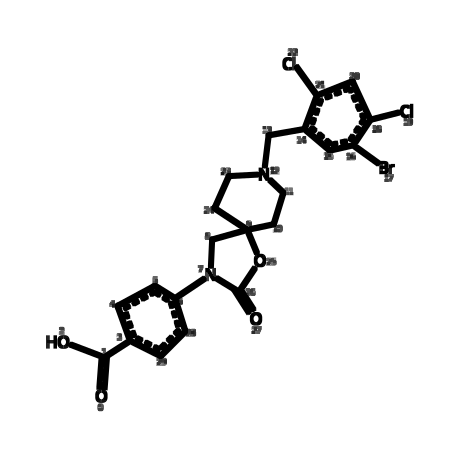 O=C(O)c1ccc(N2CC3(CCN(Cc4cc(Br)c(Cl)cc4Cl)CC3)OC2=O)cc1